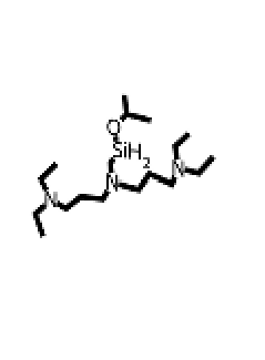 CCN(CC)CCCN(CCCN(CC)CC)C[SiH2]OC(C)C